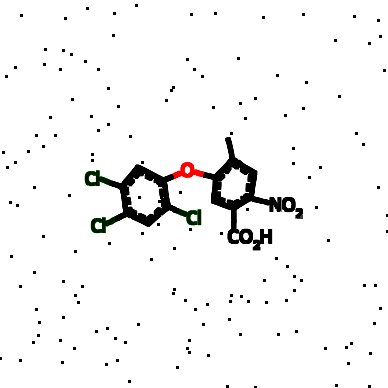 Cc1cc([N+](=O)[O-])c(C(=O)O)cc1Oc1cc(Cl)c(Cl)cc1Cl